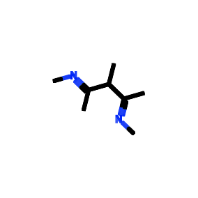 C/N=C(\C)C(C)/C(C)=N/C